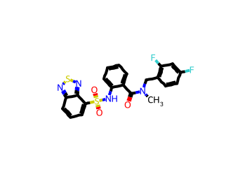 CN(Cc1ccc(F)cc1F)C(=O)c1ccccc1NS(=O)(=O)c1cccc2nsnc12